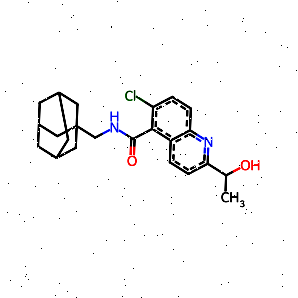 CC(O)c1ccc2c(C(=O)NCC34CC5CC(CC(C5)C3)C4)c(Cl)ccc2n1